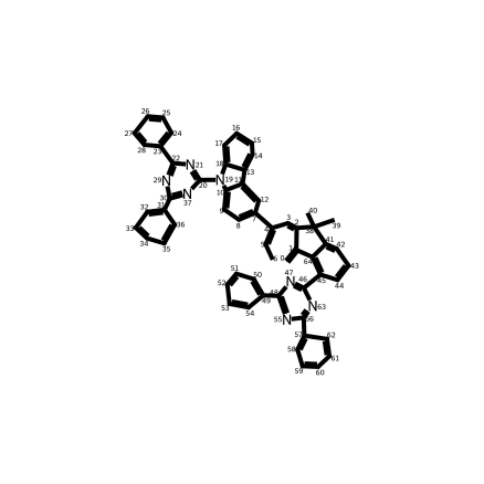 C=C1/C(=C\C(=C/C)c2ccc3c(c2)c2ccccc2n3-c2nc(-c3ccccc3)nc(-c3ccccc3)n2)C(C)(C)c2cccc(-c3nc(-c4ccccc4)nc(-c4ccccc4)n3)c21